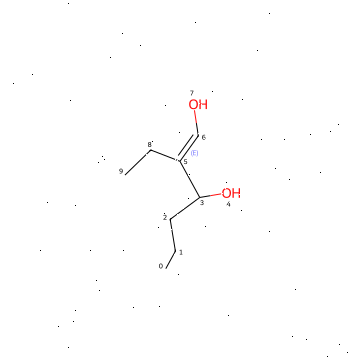 CCCC(O)/C(=C/O)CC